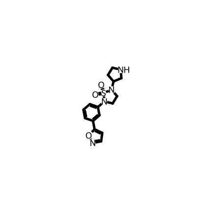 O=S1(=O)N(c2cccc(-c3ccno3)c2)CCN1C1CCNC1